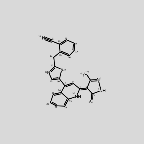 CC1=NNC(=O)/C1=C1/C=C(c2cnc(Cc3ccccc3C#N)s2)c2ccccc2N1